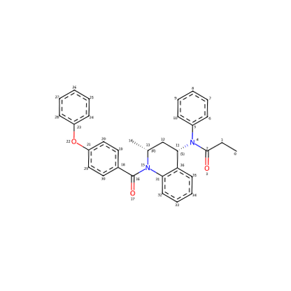 CCC(=O)N(c1ccccc1)[C@H]1C[C@@H](C)N(C(=O)c2ccc(Oc3ccccc3)cc2)c2ccccc21